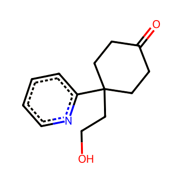 O=C1CCC(CCO)(c2ccccn2)CC1